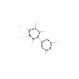 Bc1c(B)c(B)c(-c2cc(Cl)cc(Br)c2)c(B)c1B